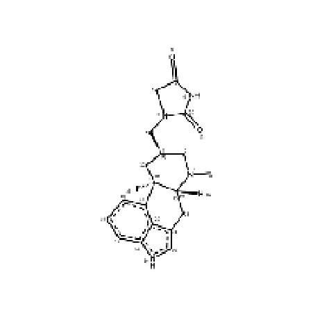 CN1C[C@H](CN2CC(=O)NC2=O)C[C@@H]2c3cccc4[nH]cc(c34)C[C@H]21